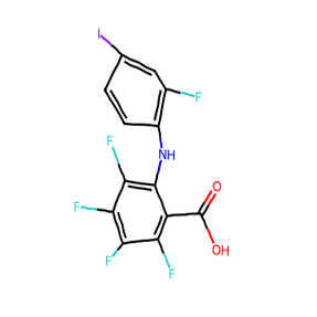 O=C(O)c1c(F)c(F)c(F)c(F)c1Nc1ccc(I)cc1F